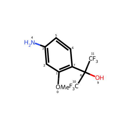 COc1cc(N)ccc1C(O)(C(F)(F)F)C(F)(F)F